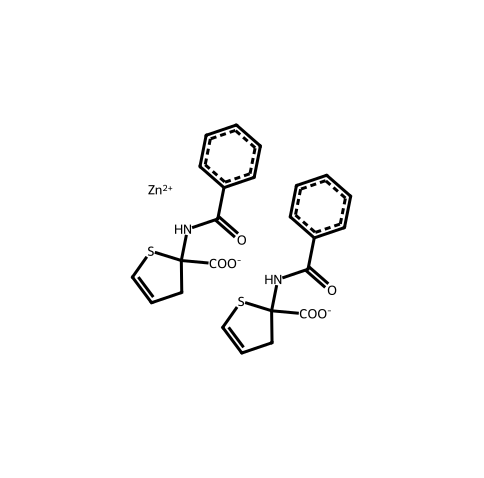 O=C(NC1(C(=O)[O-])CC=CS1)c1ccccc1.O=C(NC1(C(=O)[O-])CC=CS1)c1ccccc1.[Zn+2]